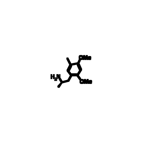 COc1cc(OC)c(C[C@@H](C)N)cc1C